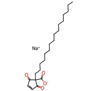 CCCCCCCCCCCCCCCCC1(C(=O)[O-])C(=O)C=CC1=O.[Na+]